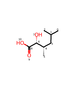 CC(C)C[C@H](C)[C@@H](O)C(=O)O